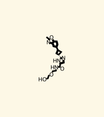 Cc1nc2cc(C3=C[C@@H](c4ncc(C(=O)NCCOCCO)[nH]4)C3)ccc2o1